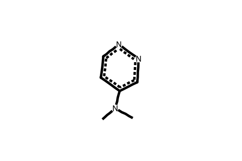 CN(C)c1ccnnc1